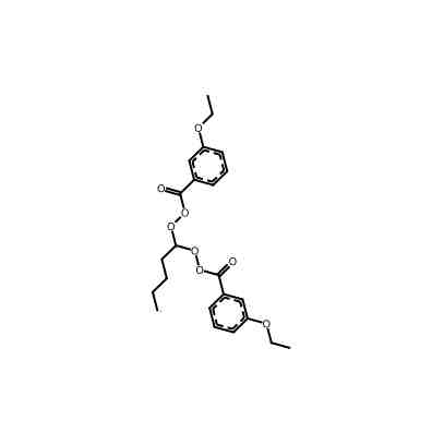 [CH2]CCC[C](OOC(=O)c1cccc(OCC)c1)OOC(=O)c1cccc(OCC)c1